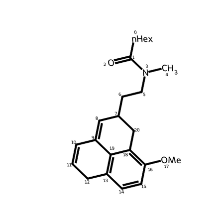 CCCCCCC(=O)N(C)CCC1C=C2C=CCc3ccc(OC)c(c32)C1